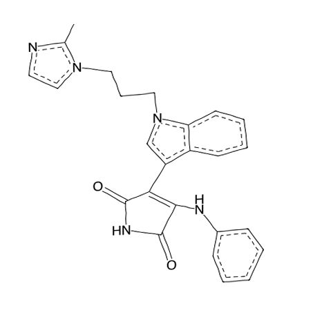 Cc1nccn1CCCn1cc(C2=C(Nc3ccccc3)C(=O)NC2=O)c2ccccc21